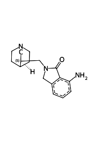 Nc1cccc2c1C(=O)N(C[C@@H]1CN3CCC1CC3)C2